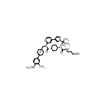 COc1ccc(C23CCC(CN(c4cc(-c5cnn(C(C)(C)C)c5)ccn4)C(=O)[C@H]4CC[C@H](OC(=O)NCCCO)CC4)(CC2)CC3)cc1C